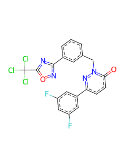 O=c1ccc(-c2cc(F)cc(F)c2)nn1Cc1cccc(-c2noc(C(Cl)(Cl)Cl)n2)c1